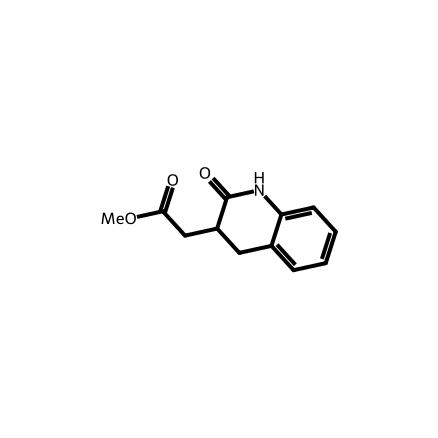 COC(=O)CC1Cc2ccccc2NC1=O